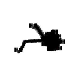 CCCCCCCC/C=C\CCCCCCCCCCCCCCCC(=O)N[C@@H](CO[C@@H]1OC(CO)[C@@H](O[C@@H]2OC(CO)[C@H](O)[C@H](O[C@@H]3OC(CO)[C@@H](O[C@@H]4OC(CO)[C@H](O)[C@H](O[C@@H]5OC(CO)[C@@H](O[C@@H]6OC(CO)[C@H](O)[C@H](O)C6O)[C@H](O[C@H]6OC(C)[C@@H](O)C(O)[C@@H]6O)C5NC(C)=O)C4O)[C@H](O)C3NC(C)=O)C2O)[C@H](O)C1O)[C@H](O)/C=C/CCCCCCCCCCCCC